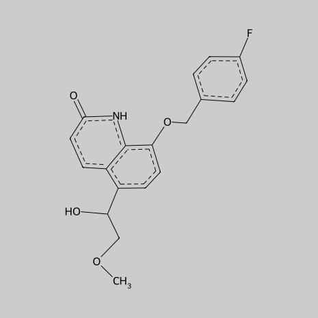 COCC(O)c1ccc(OCc2ccc(F)cc2)c2[nH]c(=O)ccc12